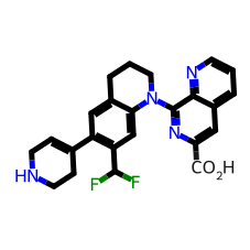 O=C(O)c1cc2cccnc2c(N2CCCc3cc(C4=CCNCC4)c(C(F)F)cc32)n1